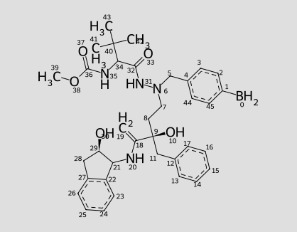 Bc1ccc(CN(CC[C@](O)(Cc2ccccc2)C(=C)NC2c3ccccc3C[C@H]2O)NC(=O)C(NC(=O)OC)C(C)(C)C)cc1